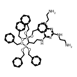 NCCNc1nc(NCCN)nc(NCCC([Si](OCc2ccccc2)(OCc2ccccc2)OCc2ccccc2)[Si](OCc2ccccc2)(OCc2ccccc2)OCc2ccccc2)n1